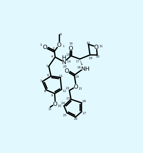 COC(=O)C(Cc1ccc(OC)cc1)NC(=O)[C@@H](NC(=O)OCc1ccccc1)C1COC1